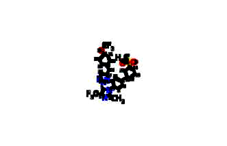 Cc1nc(C(F)(F)F)cn1-c1ccc(-c2cccc(S(C)(=O)=O)c2)cc1-n1nncc1Cc1ccc(OC(F)(F)F)cc1